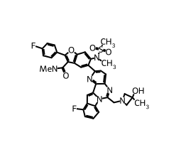 CNC(=O)c1c(-c2ccc(F)cc2)oc2cc(N(C)S(C)(=O)=O)c(-c3ccc4nc(CN5CC(C)(O)C5)n5c6cccc(F)c6cc5c4n3)cc12